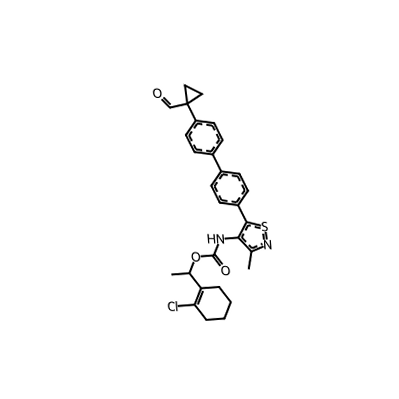 Cc1nsc(-c2ccc(-c3ccc(C4(C=O)CC4)cc3)cc2)c1NC(=O)OC(C)C1=C(Cl)CCCC1